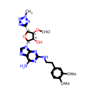 COc1ccc(CCNc2nc(N)c3ncn([C@@H]4O[C@H](c5nnn(C)n5)[C@@H](OC=O)[C@H]4O)c3n2)cc1OC